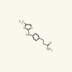 NC(=O)CCc1ccc(Nc2nc(C(F)(F)F)cs2)cc1